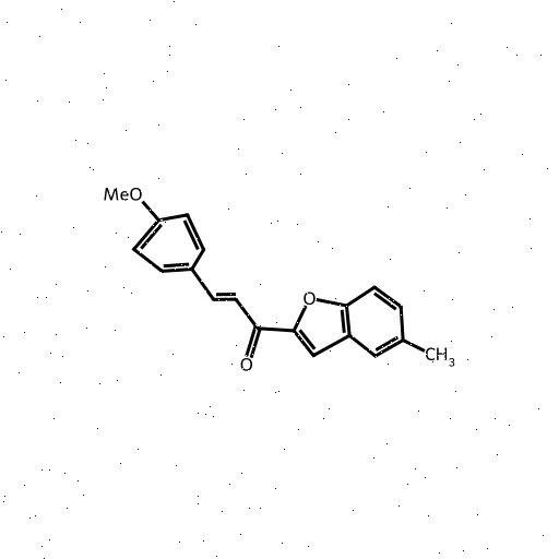 COc1ccc(C=CC(=O)c2cc3cc(C)ccc3o2)cc1